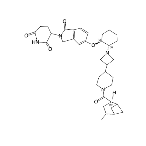 CC1C[C@@H](C(=O)N2CCC(C3CN([C@H]4CCCC[C@@H]4Oc4ccc5c(c4)CN(C4CCC(=O)NC4=O)C5=O)C3)CC2)C2CC1C2